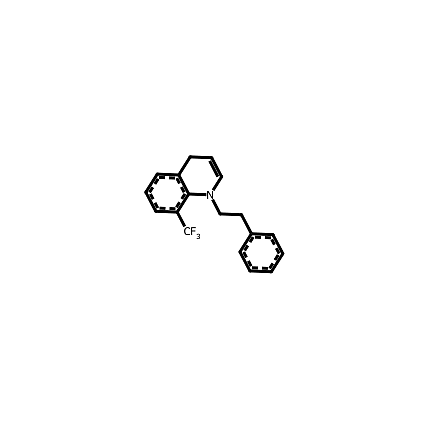 FC(F)(F)c1cccc2c1N(CCc1ccccc1)C=CC2